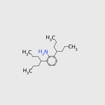 CCCC(CCC)c1cccc(C(CCC)CCC)c1N